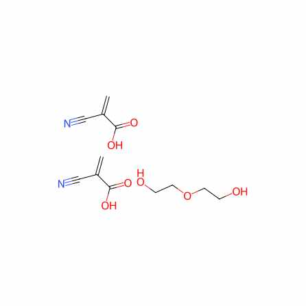 C=C(C#N)C(=O)O.C=C(C#N)C(=O)O.OCCOCCO